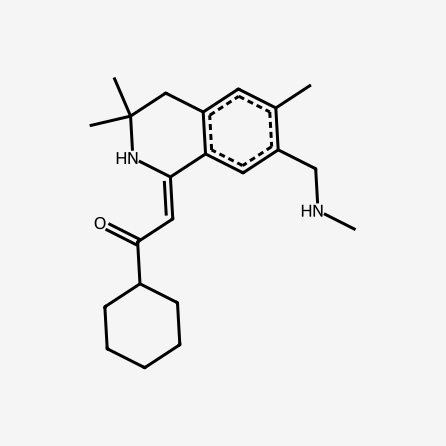 CNCc1cc2c(cc1C)CC(C)(C)NC2=CC(=O)C1CCCCC1